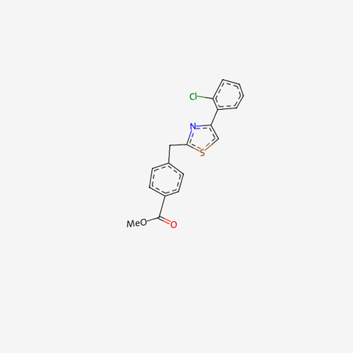 COC(=O)c1ccc(Cc2nc(-c3ccccc3Cl)cs2)cc1